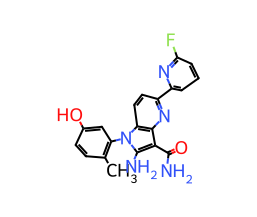 Cc1ccc(O)cc1-n1c(N)c(C(N)=O)c2nc(-c3cccc(F)n3)ccc21